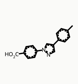 Cc1ccc(-c2cnn(-c3ccc(C(=O)O)cc3)c2)cc1